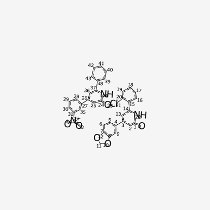 O=c1cc(-c2ccc3c(c2)OCO3)cc(-c2ccccc2Cl)[nH]1.O=c1cc(-c2cccc([N+](=O)[O-])c2)cc(-c2ccccc2)[nH]1